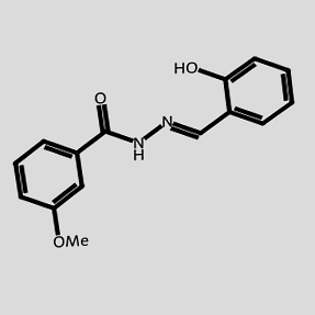 COc1cccc(C(=O)NN=Cc2ccccc2O)c1